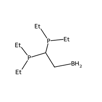 BCC(P(CC)CC)P(CC)CC